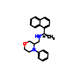 C[C@@H](NCC1COCCN1c1ccccc1)c1cccc2ccccc12